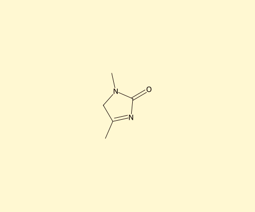 CC1=NC(=O)N(C)C1